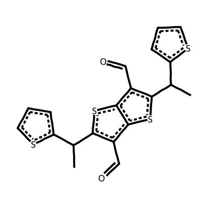 CC(c1cccs1)c1sc2c(C=O)c(C(C)c3cccs3)sc2c1C=O